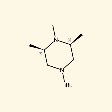 CCC(C)N1C[C@@H](C)N(C)[C@@H](C)C1